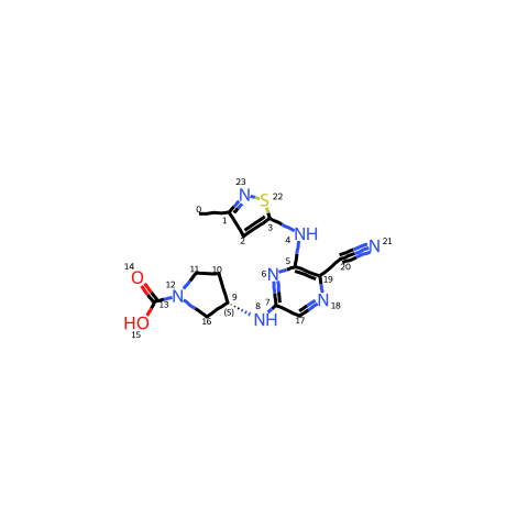 Cc1cc(Nc2nc(N[C@H]3CCN(C(=O)O)C3)cnc2C#N)sn1